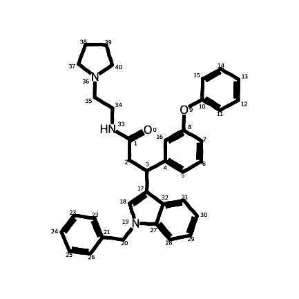 O=C(CC(c1cccc(Oc2ccccc2)c1)c1cn(Cc2ccccc2)c2ccccc12)NCCN1CCCC1